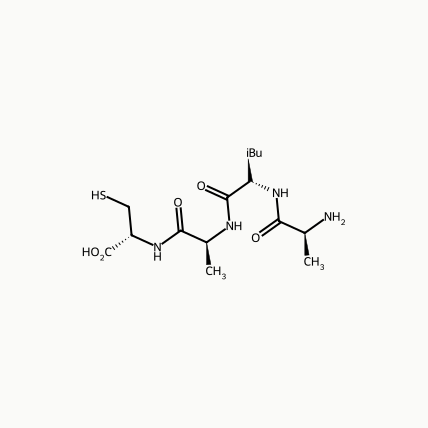 CC[C@H](C)[C@H](NC(=O)[C@H](C)N)C(=O)N[C@@H](C)C(=O)N[C@@H](CS)C(=O)O